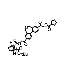 CC(C)(C)OC(=O)N1[C@@H]2CC[C@@H](C2)[C@@H]1C(=O)OCC(=O)c1ccc2c(c1)COCc1cc(C(=O)COC(=O)C3CCCC3)ccc1-2